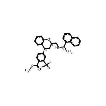 COC(=O)c1ccc([C@@H]2C[C@H](CN[C@H](C)c3cccc4ccccc34)Oc3ccccc32)cc1C(F)(F)F